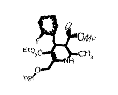 CCCOCC1=C(C(=O)OCC)C(c2ccccc2F)C(C(=O)OC)=C(C)N1